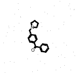 O=C(c1ccccc1)c1ccc(CN2CCCC2)cc1